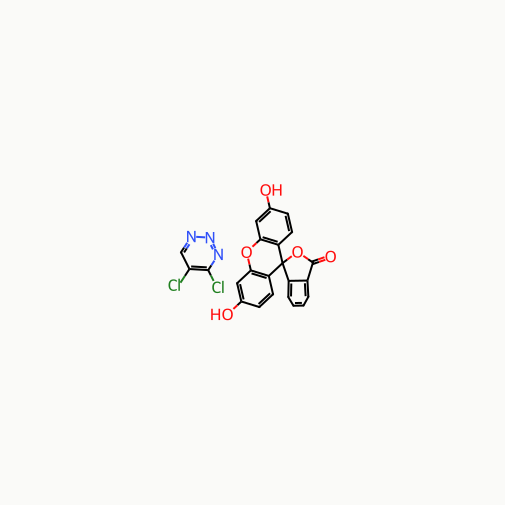 Clc1cnnnc1Cl.O=C1OC2(c3ccc(O)cc3Oc3cc(O)ccc32)c2ccccc21